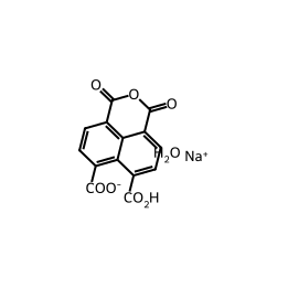 O.O=C([O-])c1ccc2c3c(ccc(C(=O)O)c13)C(=O)OC2=O.[Na+]